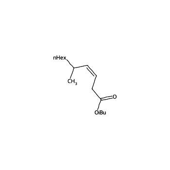 CCCCCCC(C)/C=C\CC(=O)OCC(C)C